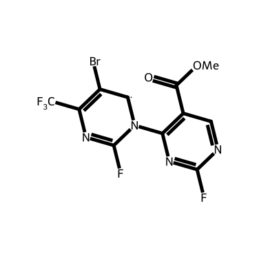 COC(=O)c1cnc(F)nc1N1[CH]C(Br)=C(C(F)(F)F)N=C1F